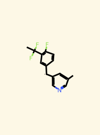 Cc1cncc([CH]c2ccc(F)c(C(C)(F)F)c2)c1